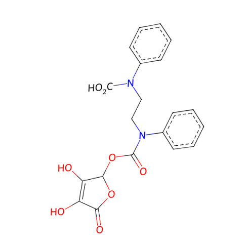 O=C1OC(OC(=O)N(CCN(C(=O)O)c2ccccc2)c2ccccc2)C(O)=C1O